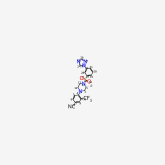 C[C@@H]1CN(c2ccc(C#N)cc2C(F)(F)F)CCN1S(=O)(=O)c1cccc(-n2cncn2)c1